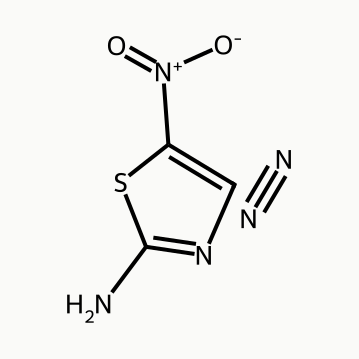 N#N.Nc1ncc([N+](=O)[O-])s1